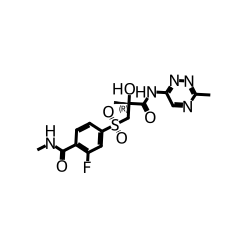 CNC(=O)c1ccc(S(=O)(=O)C[C@](C)(O)C(=O)Nc2cnc(C)nn2)cc1F